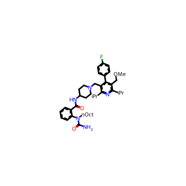 CCCCCCCCN(C(N)=O)c1ccccc1C(=O)NC1CCN(Cc2c(C(C)C)nc(C(C)C)c(COC)c2-c2ccc(F)cc2)CC1